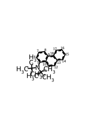 CC(C)(C)N(c1cccc2c1ccc1ccccc12)C(C)(C)C